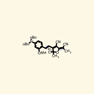 CCCCN(CCCC)c1ccc(/C=C/C2=C(C#N)C(=C(/C)C#N)/OC2(C)C)c(OC)c1